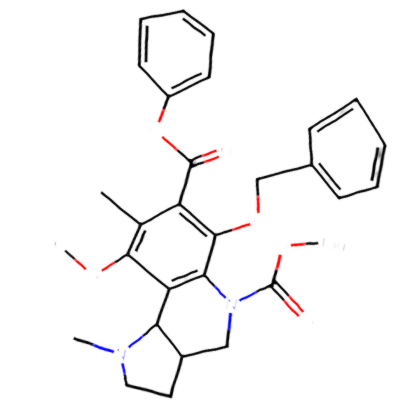 Cc1c(OC(F)(F)F)c2c(c(OCc3ccccc3)c1C(=O)Oc1ccccc1)N(C(=O)OC(C)(C)C)CC1CCN(C)C21